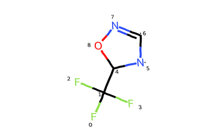 FC(F)(F)C1[N][C]=NO1